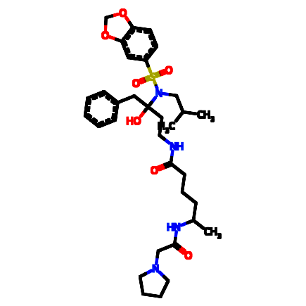 CC(C)CN(C(O)(CCNC(=O)CCCC(C)NC(=O)CN1CCCC1)Cc1ccccc1)S(=O)(=O)c1ccc2c(c1)OCO2